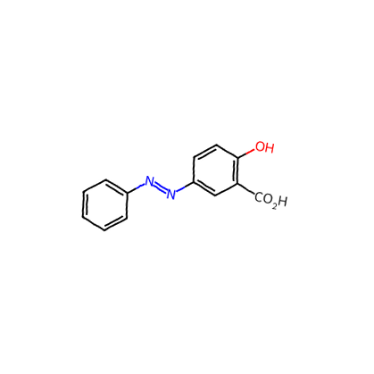 O=C(O)c1cc(N=Nc2ccccc2)ccc1O